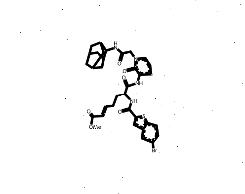 COC(=O)/C=C/CC[C@H](NC(=O)c1cc2cc(Br)ccc2s1)C(=O)Nc1cccn(CC(=O)NC2C3CC4CC(C3)CC2C4)c1=O